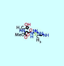 COc1c(NC(C)[C@@H]2CC[C@@H]2O)cc(C(=O)Nc2nnc(N/C(C)=C\C=N)s2)oc1=O